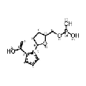 C=C(O)c1cccn1C1CCC(COP(O)O)O1